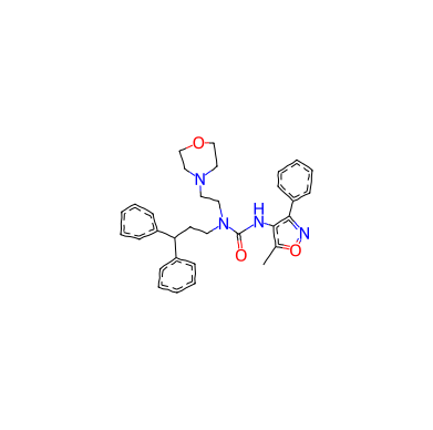 Cc1onc(-c2ccccc2)c1NC(=O)N(CCC(c1ccccc1)c1ccccc1)CCN1CCOCC1